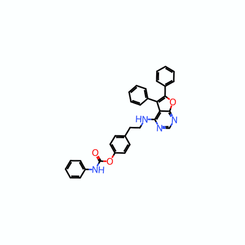 O=C(Nc1ccccc1)Oc1ccc(CCNc2ncnc3oc(-c4ccccc4)c(-c4ccccc4)c23)cc1